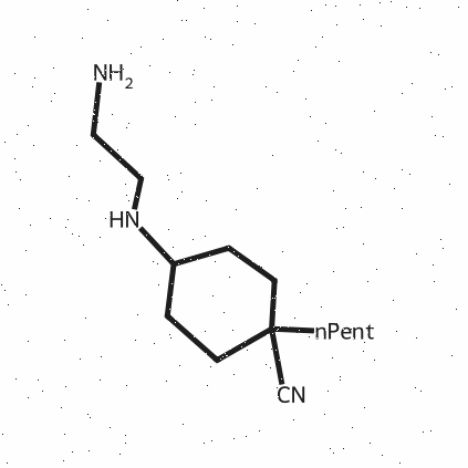 CCCCCC1(C#N)CCC(NCCN)CC1